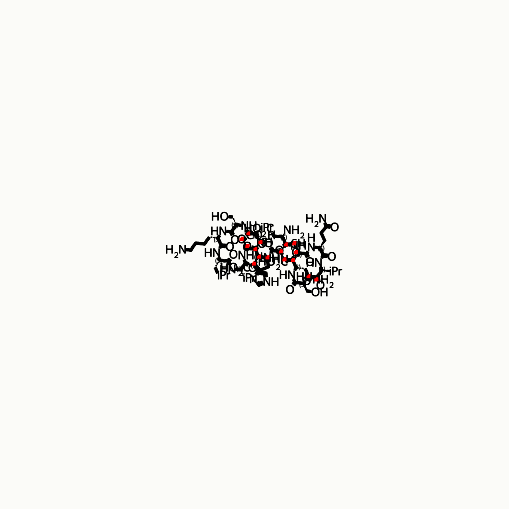 CC(C)C[C@H](NC(=O)[C@H](CCCCN)NC(=O)[C@H](CO)NC(=O)[C@@H](NC(=O)[C@H](Cc1c[nH]cn1)NC(=O)[C@H](CS)NC(=O)[C@H](CC(N)=O)NC(=O)[C@H](CO)NC(=O)[C@@H](NC(=O)[C@H](CCC(N)=O)NC(=O)[C@H](CC(=O)O)NC(=O)[C@@H](N)CC(=O)O)C(C)C)C(C)C)C(=O)N[C@H](C(=O)N[C@@H](CC(=O)O)C(=O)N1CCC[C@H]1C(=O)O)C(C)C